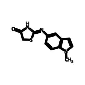 Cn1ccc2cc(/N=C3/NC(=O)CS3)ccc21